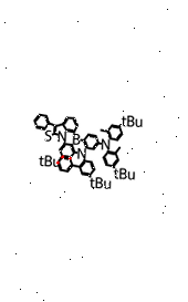 Cc1cc(C(C)(C)C)ccc1N(c1ccc2c(c1)N(c1ccc(C(C)(C)C)cc1-c1ccccc1)c1cc(C(C)(C)C)cc3c1B2c1cccc2c4c5ccccc5sc4n-3c12)c1ccc(C(C)(C)C)cc1C